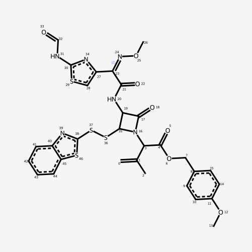 C=C(C)C(C(=O)OCc1ccc(OC)cc1)N1C(=O)C(NC(=O)/C(=N\OC)c2csc(NC=O)n2)C1SSc1nc2ccccc2s1